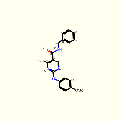 COc1ccc(Nc2ncc(C(=O)NCc3ccccc3)c(C(F)(F)F)n2)cc1